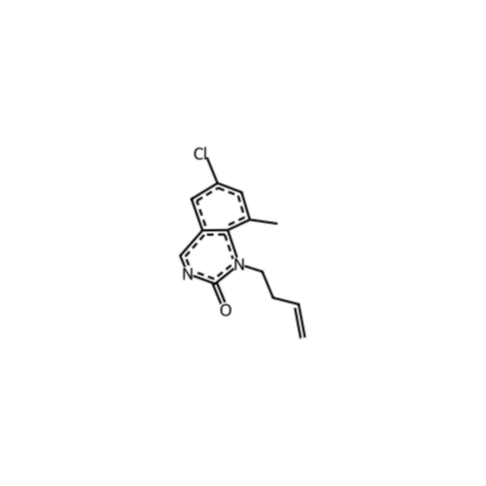 C=CCCn1c(=O)ncc2cc(Cl)cc(C)c21